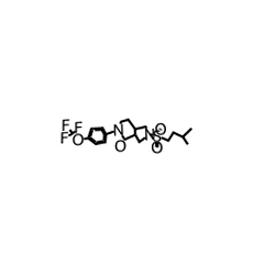 CC(C)CCS(=O)(=O)N1CC2CCN(c3ccc(OC(F)(F)F)cc3)C(=O)C2C1